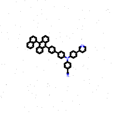 N#Cc1ccc(N(c2ccc(-c3ccc(-c4c5ccccc5c(-c5cccc6ccccc56)c5ccccc45)cc3)cc2)c2ccc(-c3cccnc3)cc2)cc1